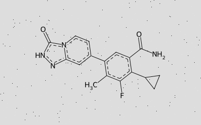 Cc1c(-c2ccn3c(=O)[nH]nc3c2)cc(C(N)=O)c(C2CC2)c1F